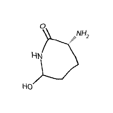 N[C@@H]1CCC(O)NC1=O